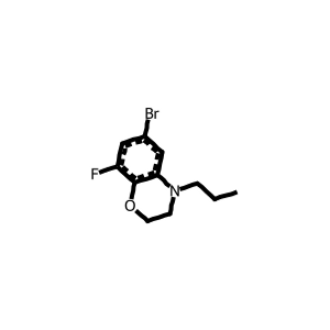 CCCN1CCOc2c(F)cc(Br)cc21